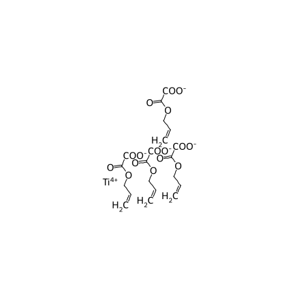 C=CCOC(=O)C(=O)[O-].C=CCOC(=O)C(=O)[O-].C=CCOC(=O)C(=O)[O-].C=CCOC(=O)C(=O)[O-].[Ti+4]